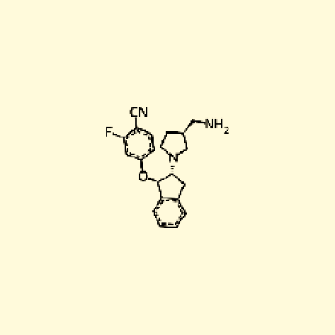 N#Cc1ccc(O[C@@H]2c3ccccc3C[C@H]2N2CC[C@@H](CN)C2)cc1F